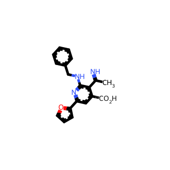 CC(=N)c1c(C(=O)O)cc(-c2ccco2)nc1NCc1ccccc1